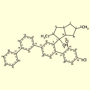 CC1CC2CC(C)C(O)(c3cc(-c4cccc(-c5ccccc5)c4)ccc3-c3ccc(Cl)cc3Cl)C2C1